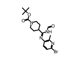 Cc1nc(Br)ccc1/N=C(\NC=O)C1CCN(C(=O)OC(C)(C)C)CC1